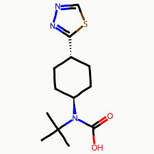 CC(C)(C)N(C(=O)O)[C@H]1CC[C@H](c2nncs2)CC1